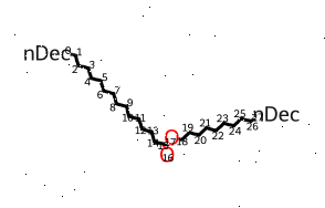 CCCCCCCCCCCCCCCCCCCCCCCCC(=O)OCCCCCCCCCCCCCCCCCCC